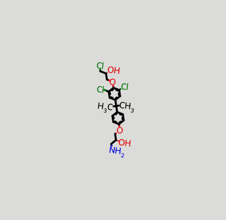 CC(C)(c1ccc(OC[C@@H](O)CN)cc1)c1cc(Cl)c(OC[C@H](O)CCl)c(Cl)c1